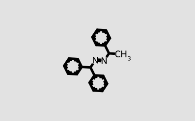 CC(N=NC(c1ccccc1)c1ccccc1)c1ccccc1